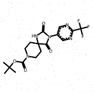 CC(C)(C)OC(=O)N1CCC2(CC1)NC(=O)N(c1cnc(C(F)(F)F)nc1)C2=O